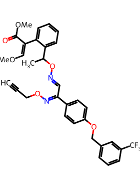 C#CCON=C(C=NOC(C)c1ccccc1C(=COC)C(=O)OC)c1ccc(OCc2cccc(C(F)(F)F)c2)cc1